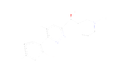 Cc1cc([C@@H](O)[C@H]2CCCN(C)C2)nnc1-c1ccc(C(F)(F)F)cc1O